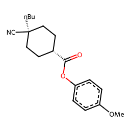 CCCC[C@]1(C#N)CC[C@H](C(=O)Oc2ccc(OC)cc2)CC1